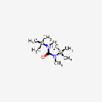 CCN(C(=O)N(C)[Si](C)(C)C)[Si](C)(C)C